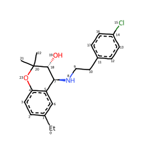 CCc1ccc2c(c1)[C@H](NCCc1ccc(Cl)cc1)[C@@H](O)C(C)(C)O2